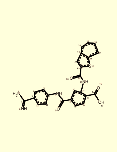 N=C(N)c1ccc(NC(=O)c2ccc(C(=O)O)c(NC(=O)c3cc4ccccc4s3)c2)cc1